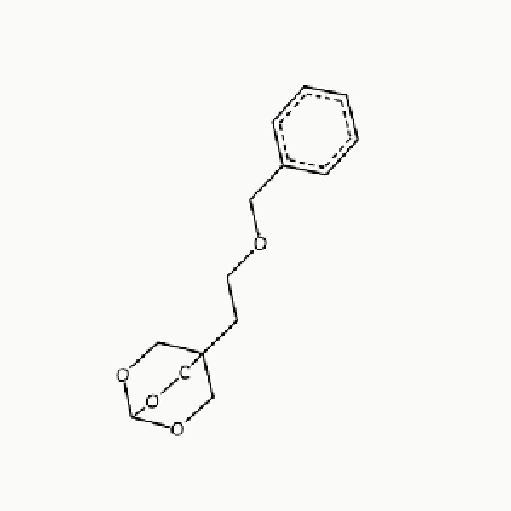 c1ccc(COCCC23COC(OC2)OC3)cc1